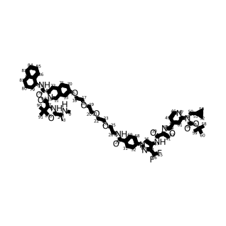 CN[C@@H](C)C(=O)N[C@H](C(=O)N1Cc2cc(OCCOCCOCCOCCNC(=O)c3ccc(-n4cc(NC(=O)c5coc(-c6ccnc(N(CC7CC7)C(=O)OC(C)(C)C)c6)n5)c(C(F)F)n4)cc3)ccc2C[C@H]1C(=O)N[C@@H]1CCCc2ccccc21)C(C)(C)C